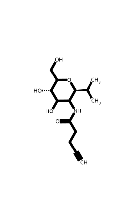 C#CCCC(=O)NC1C(O)[C@H](O)C(CO)O[C@H]1C(C)C